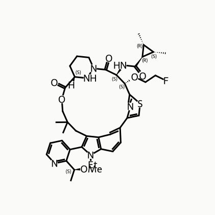 CCn1c(-c2cccnc2[C@H](C)OC)c2c3cc(ccc31)-c1csc(n1)[C@@H](OCCF)[C@H](NC(=O)[C@H]1[C@H](C)[C@@H]1C)C(=O)N1CCC[C@H](N1)C(=O)OCC(C)(C)C2